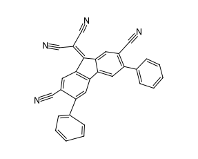 N#CC(C#N)=C1c2cc(C#N)c(-c3ccccc3)cc2-c2cc(-c3ccccc3)c(C#N)cc21